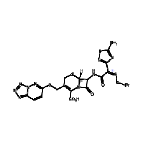 CC(C)O/N=C(\C(=O)NC1C(=O)N2C(C(=O)O)=C(CSc3ccc4nnnn4n3)CS[C@H]12)c1nsc(N)n1